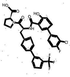 O=C(N[C@@H](Cc1ccc(-c2cccc(C(F)(F)F)c2)cc1)C(=O)N1CCC[C@H]1C(=O)O)c1cc(-c2ccc(F)c(Cl)c2)ccc1O